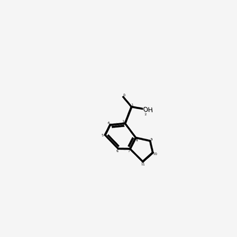 CC(O)c1cccc2c1CCC2